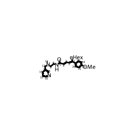 CCCCCC/C(=C\C=C\C(=O)NCCN(C)Cc1cccnc1)c1ccc(OC)cc1